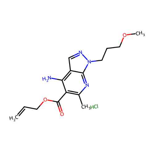 C=CCOC(=O)c1c(C)nc2c(cnn2CCCOC)c1N.Cl